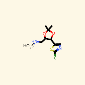 CC1(C)OC(CNS(=O)(=O)O)C(c2cnc(Cl)s2)O1